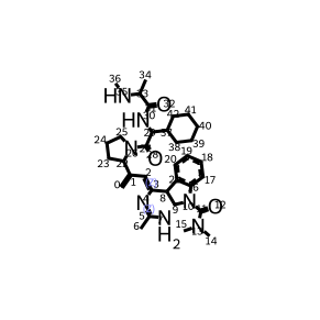 C=C(/C=C(\N=C(\C)N)C1CN(C(=O)N(C)C)c2ccccc21)C1CCCN1C(=O)C(NC(=O)C(C)NC)C1CCCCC1